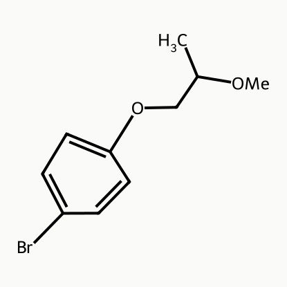 COC(C)COc1ccc(Br)cc1